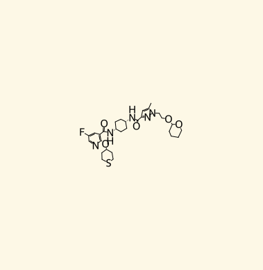 Cc1cc(C(=O)N[C@H]2CC[C@@H](NC(=O)c3cc(F)cnc3OC3CCSCC3)CC2)nn1CCOC1CCCCO1